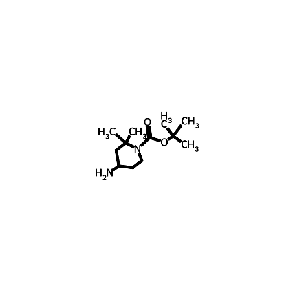 CC(C)(C)OC(=O)N1CCC(N)CC1(C)C